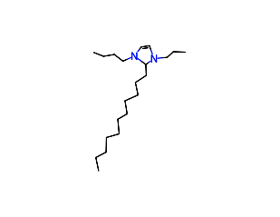 CCCCCCCCCCCC1N(CCC)C=CN1CCCC